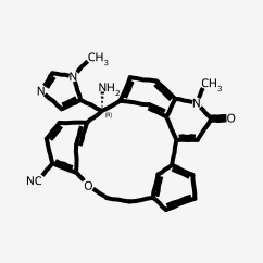 Cn1cncc1[C@]1(N)c2ccc(C#N)c(c2)OCCc2cccc(c2)-c2cc(=O)n(C)c3ccc1cc23